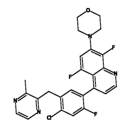 Cc1nccnc1Cc1cc(-c2ccnc3c(F)c(N4CCOCC4)cc(F)c23)c(F)cc1Cl